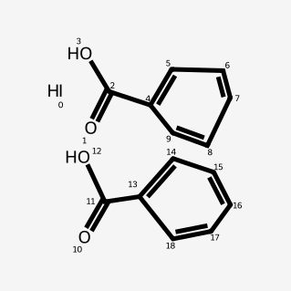 I.O=C(O)c1ccccc1.O=C(O)c1ccccc1